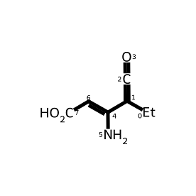 CCC(=C=O)C(N)=CC(=O)O